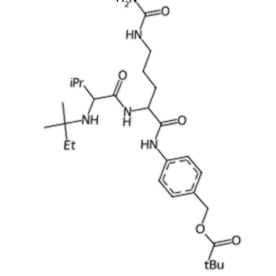 CCC(C)(C)NC(C(=O)NC(CCCNC(N)=O)C(=O)Nc1ccc(COC(=O)C(C)(C)C)cc1)C(C)C